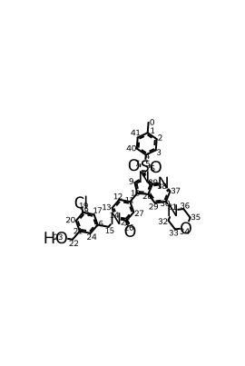 Cc1ccc(S(=O)(=O)n2cc(-c3ccn(Cc4cc(Cl)cc(CO)c4)c(=O)c3)c3cc(N4CCOCC4)cnc32)cc1